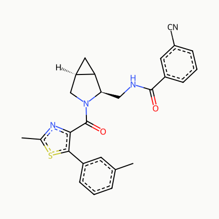 Cc1cccc(-c2sc(C)nc2C(=O)N2C[C@H]3CC3[C@H]2CNC(=O)c2cccc(C#N)c2)c1